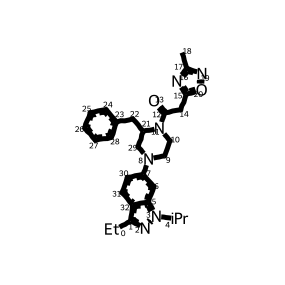 CCc1nn(C(C)C)c2cc(N3CCN(C(=O)Cc4nc(C)no4)C(Cc4ccccc4)C3)ccc12